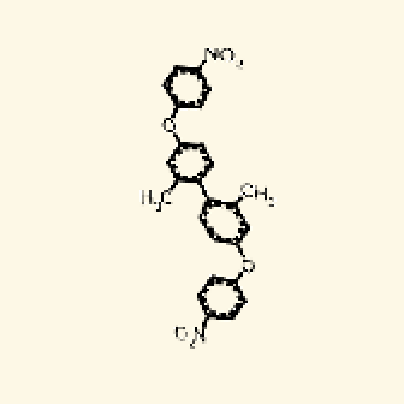 Cc1cc(Oc2ccc([N+](=O)[O-])cc2)ccc1-c1ccc(Oc2ccc([N+](=O)[O-])cc2)cc1C